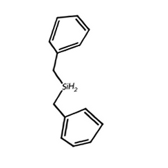 c1ccc(C[SiH2]Cc2ccccc2)cc1